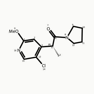 COc1cc([C@@H](C)C(=O)N2CCCC2)c(Cl)cn1